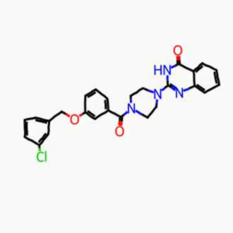 O=C(c1cccc(OCc2cccc(Cl)c2)c1)N1CCN(c2nc3ccccc3c(=O)[nH]2)CC1